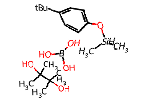 CC(C)(O)C(C)(C)O.C[SiH](C)Oc1ccc(C(C)(C)C)cc1.OB(O)O